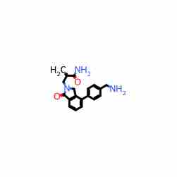 C=C(CN1Cc2c(cccc2-c2ccc(CN)cc2)C1=O)C(N)=O